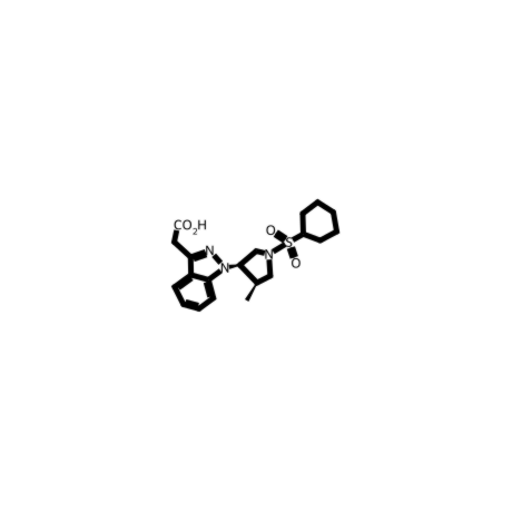 C[C@@H]1CN(S(=O)(=O)C2CCCCC2)C[C@@H]1n1nc(CC(=O)O)c2ccccc21